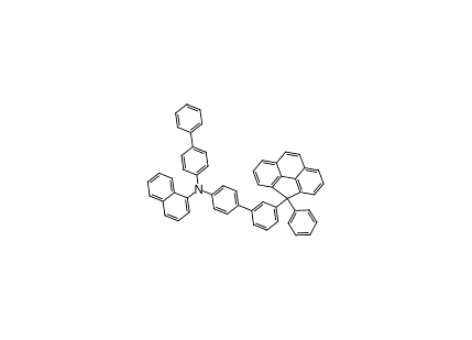 c1ccc(-c2ccc(N(c3ccc(-c4cccc(C5(c6ccccc6)c6cccc7ccc8cccc5c8c67)c4)cc3)c3cccc4ccccc34)cc2)cc1